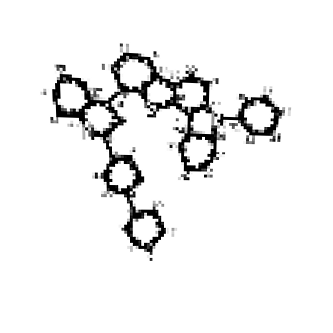 c1ccc(-c2ccc(-c3cc(-c4cccc5c4sc4c5ccc5c4c4ccccc4n5-c4ccccc4)c4ccccc4n3)cc2)cc1